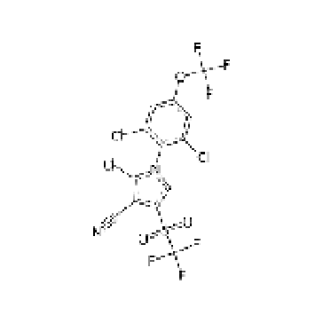 N#Cc1c(S(=O)(=O)C(F)(F)F)cn(-c2c(Cl)cc(OC(F)(F)F)cc2Cl)c1Cl